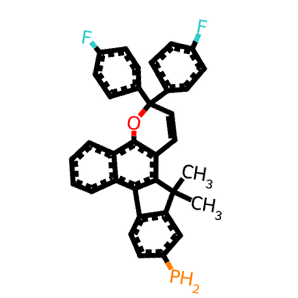 CC1(C)c2cc(P)ccc2-c2c1c1c(c3ccccc23)OC(c2ccc(F)cc2)(c2ccc(F)cc2)C=C1